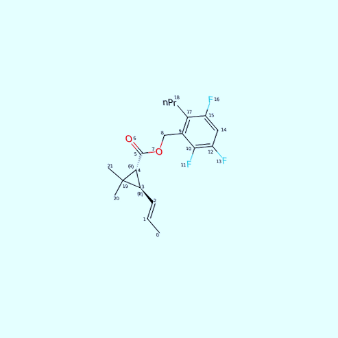 CC=C[C@@H]1[C@@H](C(=O)OCc2c(F)c(F)cc(F)c2CCC)C1(C)C